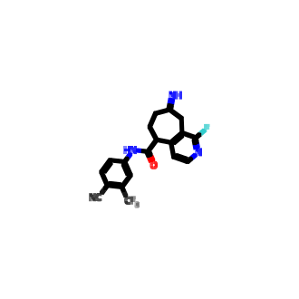 N#Cc1ccc(NC(=O)C2CCC(=N)Cc3c2ccnc3F)cc1C(F)(F)F